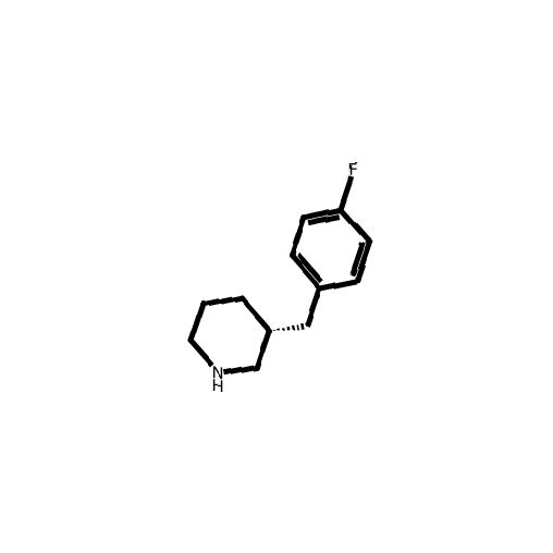 Fc1ccc(C[C@H]2CCCNC2)cc1